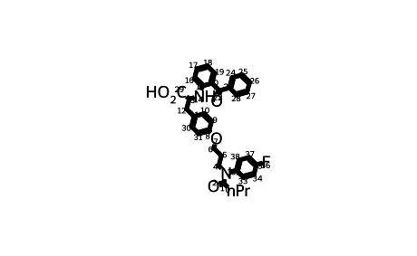 CCCC(=O)N(CCCOc1ccc(CC(Nc2ccccc2C(=O)c2ccccc2)C(=O)O)cc1)c1ccc(F)cc1